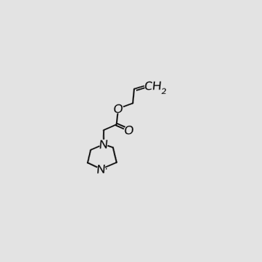 C=CCOC(=O)CN1CC[N]CC1